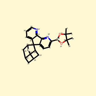 CC1(C)OB(c2ccc3c(n2)-c2ncccc2C32C3CC4CC5CC2C45C3)OC1(C)C